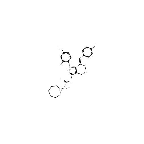 O=C(NN1CCCCCC1)Oc1nn(-c2ccc(Cl)cc2Cl)c2c1CSC/C2=C\c1ccc(F)cc1